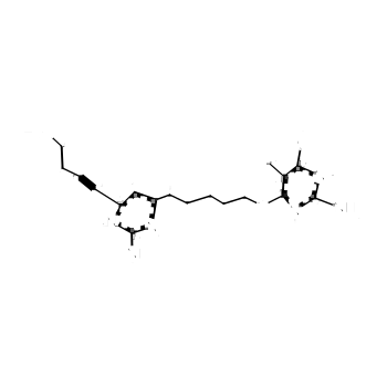 CCCC#Cc1cc(CCCCCSc2nc(N)nc(C)c2I)nc(N)n1